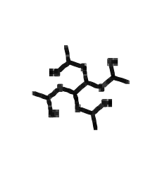 CC(S)SC(SC(C)S)C(SC(C)S)SC(C)S